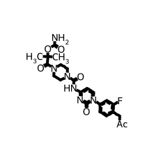 CC(=O)Cc1ccc(-n2ccc(NC(=O)N3CCN(C(=O)C(C)(C)OC(N)=O)CC3)nc2=O)cc1F